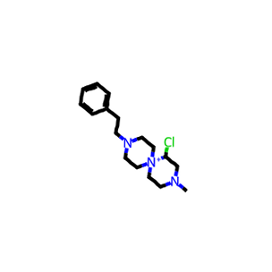 CN1CC[N+]2(CCN(CCc3ccccc3)CC2)C(Cl)C1